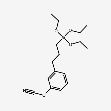 CCO[Si](CCCc1cccc(OC#N)c1)(OCC)OCC